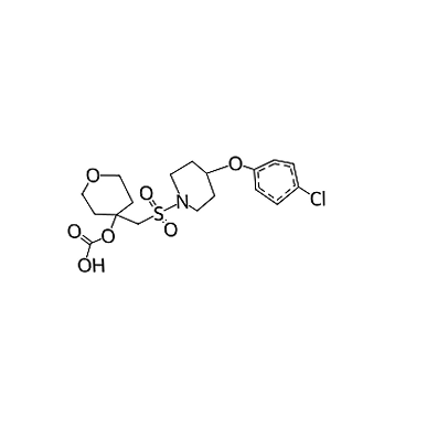 O=C(O)OC1(CS(=O)(=O)N2CCC(Oc3ccc(Cl)cc3)CC2)CCOCC1